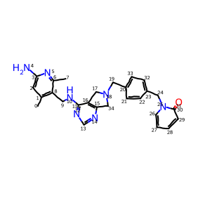 Cc1cc(N)nc(C)c1CNc1ncnc2c1CN(Cc1ccc(Cn3ccccc3=O)cc1)C2